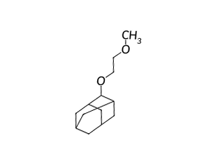 COCCOC1C2CC3CC(C2)CC1C3